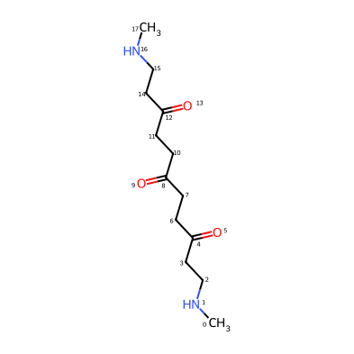 CNCCC(=O)CCC(=O)CCC(=O)CCNC